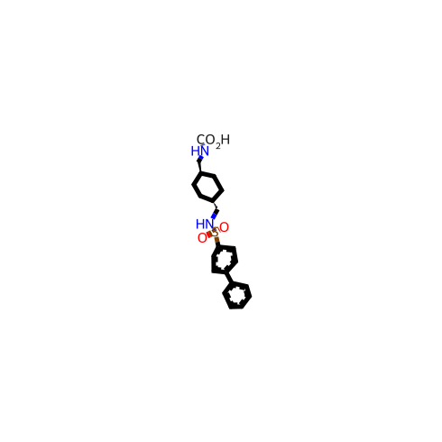 O=C(O)NC[C@H]1CC[C@H](CNS(=O)(=O)c2ccc(-c3ccccc3)cc2)CC1